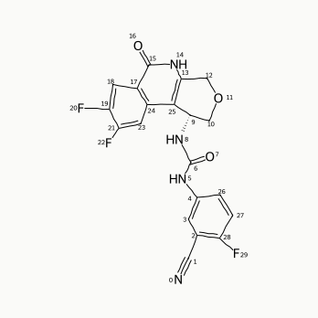 N#Cc1cc(NC(=O)N[C@H]2COCc3[nH]c(=O)c4cc(F)c(F)cc4c32)ccc1F